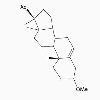 COC1CC[C@@]2(C)C(=CCC3C4CC[C@](C)(C(C)=O)C4(C)CCC32)C1